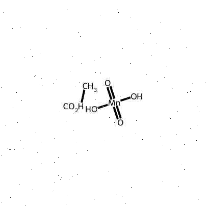 CC(=O)O.[O]=[Mn](=[O])([OH])[OH]